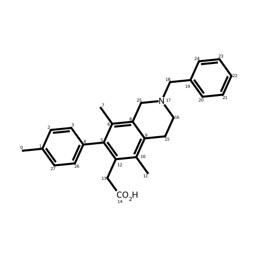 Cc1ccc(-c2c(C)c3c(c(C)c2CC(=O)O)CCN(Cc2ccccc2)C3)cc1